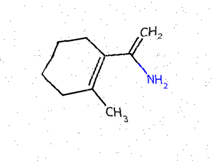 C=C(N)C1=C(C)CCCC1